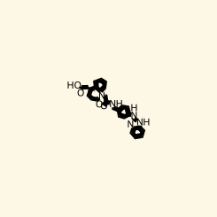 O=C(O)C[C@@H]1CCC(=O)N(CC(=O)NCc2ccc(Nc3nc4ccccc4[nH]3)cc2)c2ccccc21